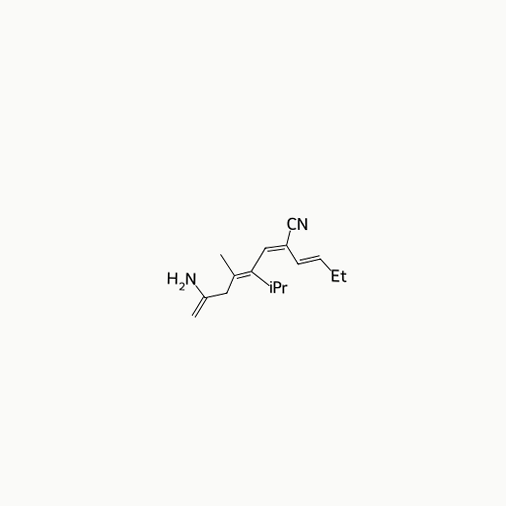 C=C(N)C/C(C)=C(/C=C(C#N)\C=C\CC)C(C)C